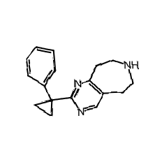 c1ccc(C2(c3ncc4c(n3)CCNCC4)CC2)cc1